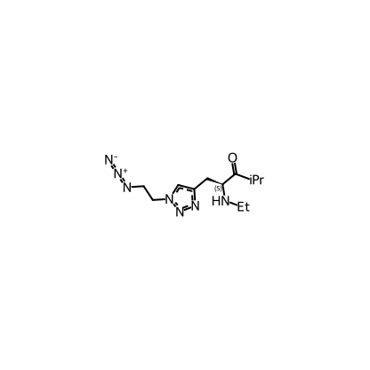 CCN[C@@H](Cc1cn(CCN=[N+]=[N-])nn1)C(=O)C(C)C